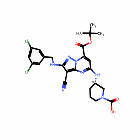 CC(C)(C)OC(=O)c1cc(N[C@H]2CCCN(C(=O)O)C2)nc2c(C#N)c(NCc3cc(Cl)cc(Cl)c3)nn12